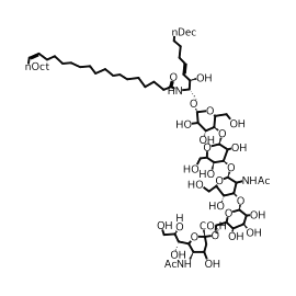 CCCCCCCC/C=C\CCCCCCCCCCCCCCCC(=O)N[C@@H](CO[C@@H]1OC(CO)[C@@H](O[C@@H]2OC(CO)[C@H](O)[C@H](O[C@@H]3OC(CO)[C@@H](O)[C@H](O[C@@H]4OC(CO[C@]5(C(=O)O)CC(O)[C@@H](NC(C)=O)C([C@H](O)[C@H](O)CO)O5)[C@H](O)[C@H](O)C4O)C3NC(C)=O)C2O)[C@H](O)C1O)[C@H](O)/C=C/CCCCCCCCCCCCC